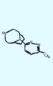 N#Cc1ccc(N2C3CCC2CNC3)nn1